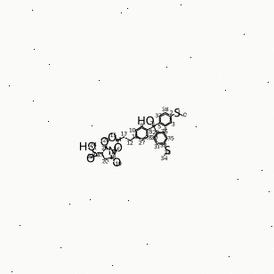 CSc1ccc(C(O)(c2ccc(CCC(=O)ON3C(=O)CC(S(=O)O)C3=O)cc2)c2ccc(SC)cc2)cc1